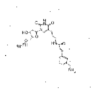 [3H]POCC1OC(n2cc(/C=C/CNC(=O)/C=C/c3cccc(CN)c3)c(=O)[nH]c2=O)CC1O